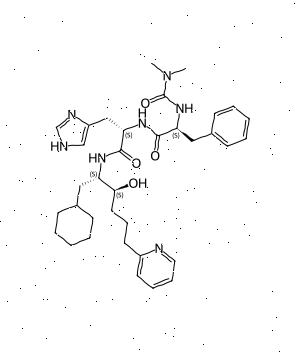 CN(C)C(=O)N[C@@H](Cc1ccccc1)C(=O)N[C@@H](Cc1c[nH]cn1)C(=O)N[C@@H](CC1CCCCC1)[C@@H](O)CCCc1ccccn1